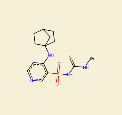 CC(C)NC(=S)NS(=O)(=O)c1cnccc1NC12CCC(CC1)C2